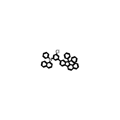 Clc1cc(-c2ccc3c(c2)C(c2ccccc2)(c2ccccc2)c2c-3ccc3ccccc23)cc(N(c2ccccc2)c2cccc3ccccc23)c1